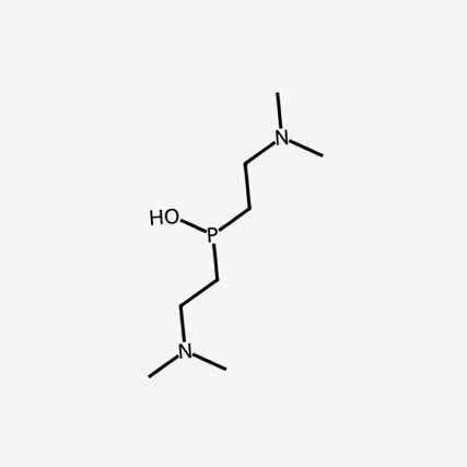 CN(C)CCP(O)CCN(C)C